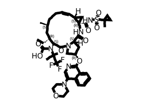 CC[C@@H]1C[C@@H](C)CCC=C[C@@H]2C[C@@]2(C(=O)NS(=O)(=O)C2(C)CC2)NC(=O)[C@@H]2C[C@@H](Oc3ncc(N4CCOCC4)c4ccccc34)CN2C(=O)[C@H]1N(C(=O)O)C(C)(C)C(F)(F)F